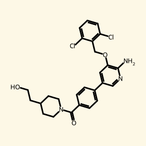 Nc1ncc(-c2ccc(C(=O)N3CCC(CCO)CC3)cc2)cc1OCc1c(Cl)cccc1Cl